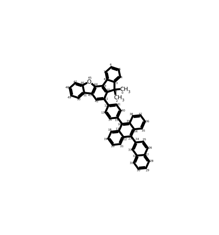 CC1(C)c2ccccc2-c2c1c(-c1ccc(-c3c4ccccc4c(-c4ccc5ccccc5c4)c4ccccc34)cc1)cc1c2oc2ccccc21